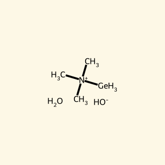 C[N+](C)(C)[GeH3].O.[OH-]